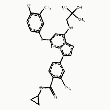 Cc1cc(Sc2cc(NCC(C)(C)O)c3ncc(-c4ccc(C(=O)NC5CC5)c(C)c4)n3n2)ccc1O